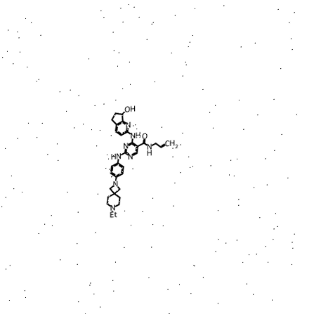 C=CCNC(=O)c1cnc(Nc2ccc(N3CC4(CCN(CC)CC4)C3)cc2)nc1Nc1ccc2c(n1)C(O)CC2